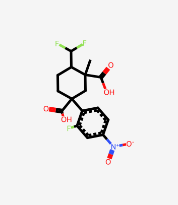 CC1(C(=O)O)CC(C(=O)O)(c2ccc([N+](=O)[O-])cc2F)CCC1C(F)F